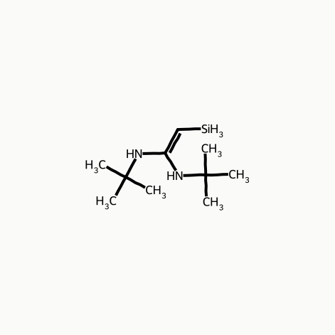 CC(C)(C)NC(=C[SiH3])NC(C)(C)C